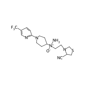 N#CC1CSCN1CC[N+](N)([O-])C1CCN(c2ccc(C(F)(F)F)cn2)CC1